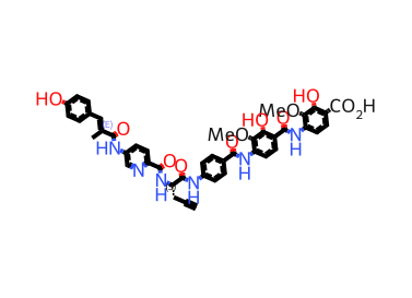 C#CC[C@H](NC(=O)c1ccc(NC(=O)/C(C)=C/c2ccc(O)cc2)cn1)C(=O)Nc1ccc(C(=O)Nc2ccc(C(=O)Nc3ccc(C(=O)O)c(O)c3OC)c(O)c2OC)cc1